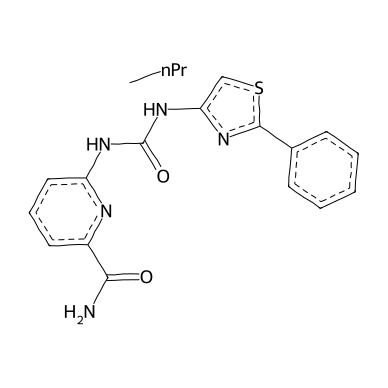 CCCC.NC(=O)c1cccc(NC(=O)Nc2csc(-c3ccccc3)n2)n1